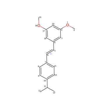 COc1cc(/C=C/c2ccc(C(C)C)cc2)cc(OC)c1